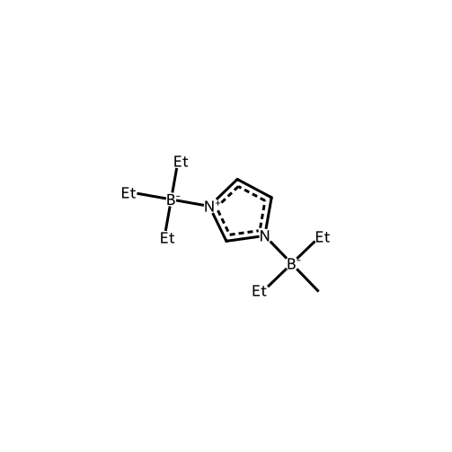 C[CH+][B-](C)([CH+]C)n1cc[n+]([B-](CC)(CC)CC)c1